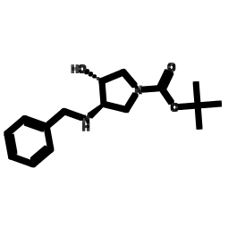 CC(C)(C)OC(=O)N1C[C@@H](O)[C@H](NCc2ccccc2)C1